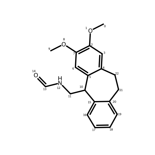 COc1cc2c(cc1OC)C(CNC=O)c1ccccc1CC2